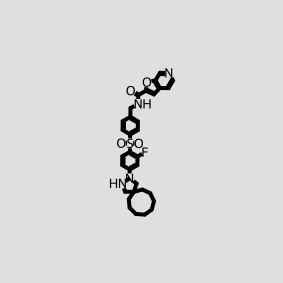 O=C(NCc1ccc(S(=O)(=O)c2ccc(N3CC4(CCCCCCCC4)CN3)cc2F)cc1)c1cc2ccncc2o1